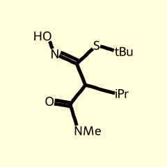 CNC(=O)C(/C(=N/O)SC(C)(C)C)C(C)C